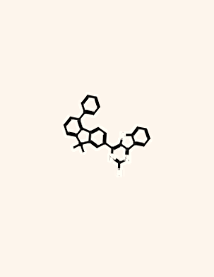 CC1(C)c2cc(-c3nc(Cl)nc4c3sc3ccccc34)ccc2-c2c(-c3ccccc3)cccc21